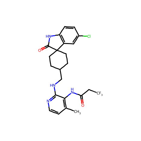 Cc1ccnc(NCC2CCC3(CC2)C(=O)Nc2ccc(Cl)cc23)c1NC(=O)CC(F)(F)F